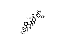 C=CC(=O)Nc1ccccc1Nc1ncc2c(n1)N(CCC)C(=O)N(c1cc(O)cc(O)c1)C2